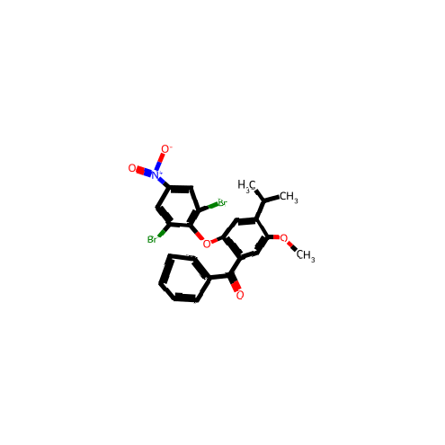 COc1cc(C(=O)c2ccccc2)c(Oc2c(Br)cc([N+](=O)[O-])cc2Br)cc1C(C)C